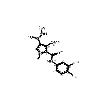 CCCN[S+]([O-])c1cn(C)c(C(=O)Nc2ccc(F)c(F)c2)c1OC